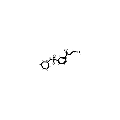 NCCC(=O)c1cccc(S(=O)(=O)CC2CCCCC2)c1